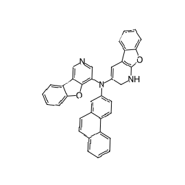 C1=C(N(c2ccc3c(ccc4ccccc43)c2)c2cncc3c2oc2ccccc23)CNc2oc3ccccc3c21